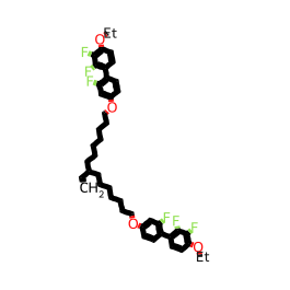 C=CC(CCCCCCCOc1ccc(-c2ccc(OCC)c(F)c2F)c(F)c1)CCCCCCCOc1ccc(-c2ccc(OCC)c(F)c2F)c(F)c1